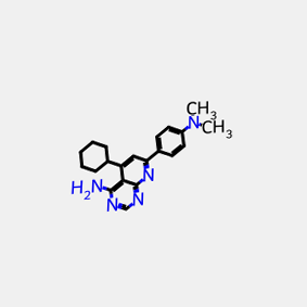 CN(C)c1ccc(-c2cc(C3CCCCC3)c3c(N)ncnc3n2)cc1